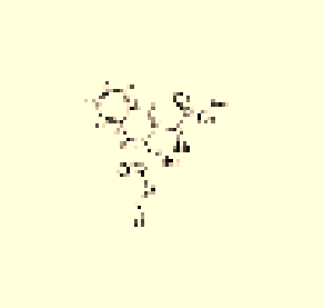 CCOC(=O)C(Br)c1cc2ccccc2cc1C(Br)C(=O)OCC